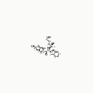 O=C(N[C@@H]1Cc2ccccc2[C@H]1CS(=O)(=O)CCCO)c1cc2cc(Cl)sc2[nH]1